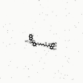 O=C(NC1(C(=O)O)Cc2ccccc2C1)c1cccc(OCCCCCNC[C@H](O)c2ccc(O)c3[nH]c(=O)ccc23)c1